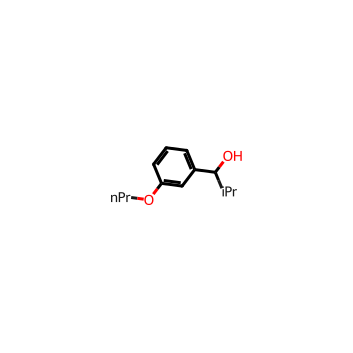 CCCOc1cccc(C(O)C(C)C)c1